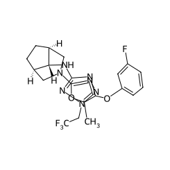 Cc1nnc(N2C[C@H]3CC[C@@H](C2)[C@@H]3Nc2nc(Oc3cccc(F)c3)n(CC(F)(F)F)n2)o1